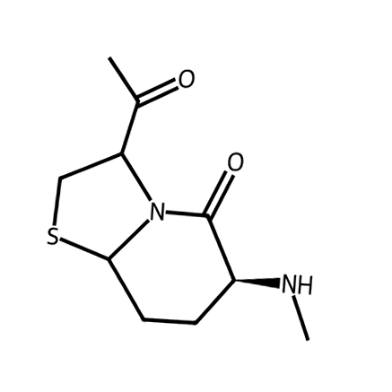 CN[C@H]1CCC2SCC(C(C)=O)N2C1=O